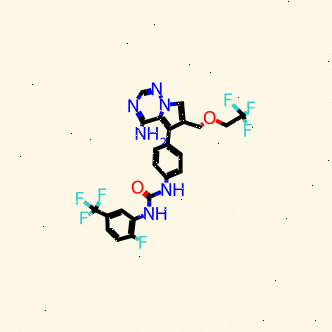 Nc1ncnn2cc(COCC(F)(F)F)c(-c3ccc(NC(=O)Nc4cc(C(F)(F)F)ccc4F)cc3)c12